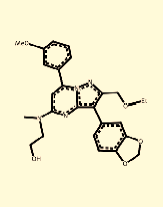 CCOCc1nn2c(-c3cccc(OC)c3)cc(N(C)CCO)nc2c1-c1ccc2c(c1)OCO2